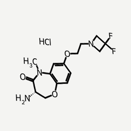 CN1C(=O)[C@@H](N)COc2ccc(OCCN3CC(F)(F)C3)cc21.Cl